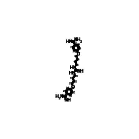 N=C(NCCCCOc1ccc(C(=N)N)cc1)NCCCCOc1ccc(C(=N)N)cc1